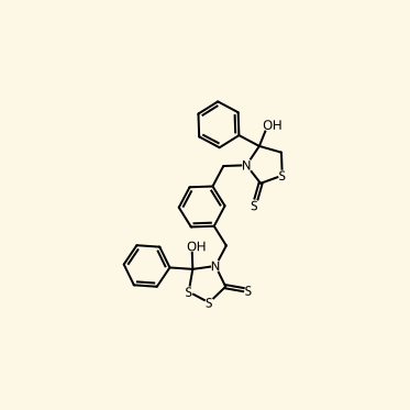 OC1(c2ccccc2)CSC(=S)N1Cc1cccc(CN2C(=S)SSC2(O)c2ccccc2)c1